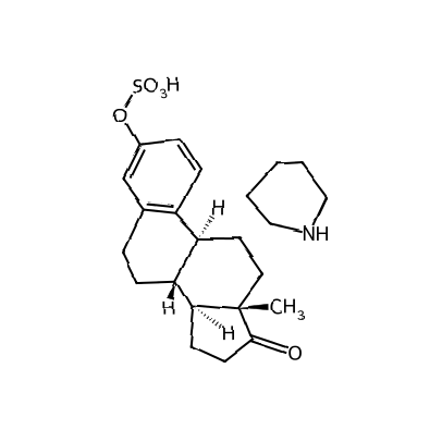 C1CCNCC1.C[C@]12CC[C@@H]3c4ccc(OS(=O)(=O)O)cc4CC[C@H]3[C@@H]1CCC2=O